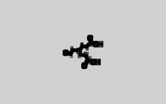 O=CCN(CCC(=O)O)CCC(=O)O